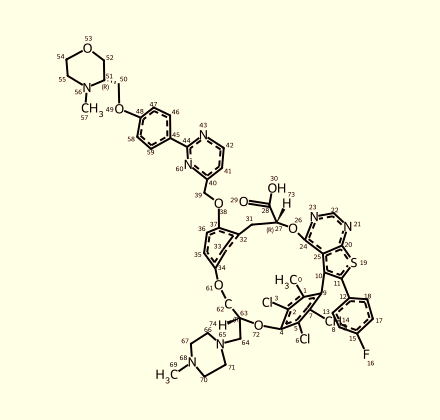 Cc1c(Cl)c2c(Cl)c(C)c1-c1c(-c3ccc(F)cc3)sc3ncnc(c13)O[C@@H](C(=O)O)Cc1cc(ccc1OCc1ccnc(-c3ccc(OC[C@H]4COCCN4C)cc3)n1)OC[C@@H](CN1CCN(C)CC1)O2